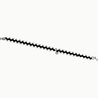 CCCCCCCCC=CCCCCCCCCCCCC(=O)OCCCCCCCCCCCCCCCCCCCCCCCCCCCCCCO